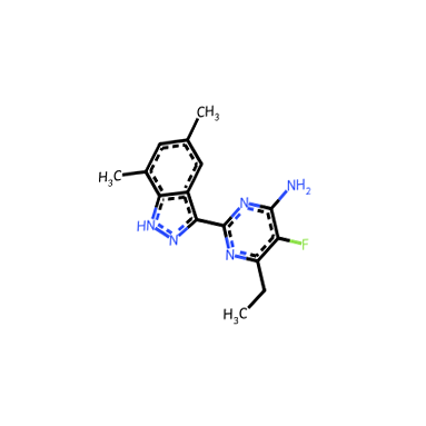 CCc1nc(-c2n[nH]c3c(C)cc(C)cc23)nc(N)c1F